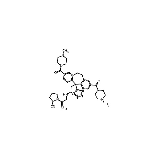 C=C(CN[C@H](C)CC1(c2nnn[nH]2)c2ccc(C(=O)N3CCN(C)CC3)cc2CCc2cc(C(=O)N3CCN(C)CC3)ccc21)N1CCCC1C#N